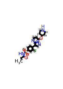 CCC(=O)NS(=O)(=O)c1ccc(-c2cnn3c(OC4CCNCC4)ccnc23)c(F)c1